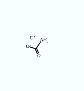 NC(=O)[O-].[Cl+]